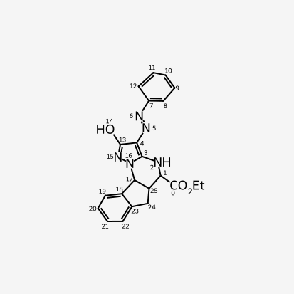 CCOC(=O)C1Nc2c(N=Nc3ccccc3)c(O)nn2C2c3ccccc3CC12